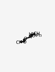 CC(C)CC(C)NC(=O)CN1CCN(CCCCCOc2ccc3c(-c4ccc(Cl)cc4)coc3c2)CC1